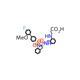 COc1cc(F)ccc1-c1ccc(S(=O)(=O)N2c3ccccc3C[C@H]2C(=O)NCc2ccccc2NCCC(=O)O)cc1